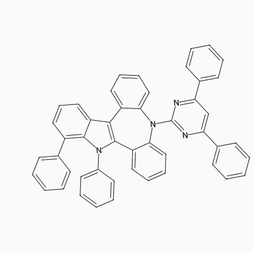 c1ccc(-c2cc(-c3ccccc3)nc(N3c4ccccc4-c4c(n(-c5ccccc5)c5c(-c6ccccc6)cccc45)-c4ccccc43)n2)cc1